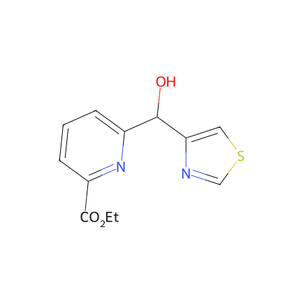 CCOC(=O)c1cccc(C(O)c2cscn2)n1